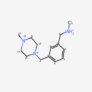 [CH2-][NH2+]Cc1cccc(CN2CCN(C)CC2)c1